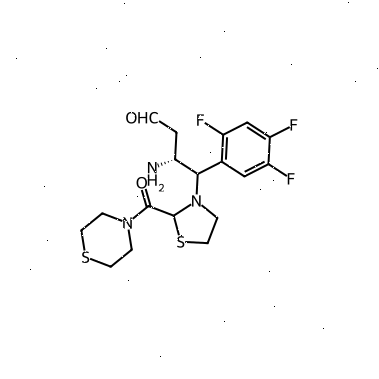 N[C@H](CC=O)C(c1cc(F)c(F)cc1F)N1CCSC1C(=O)N1CCSCC1